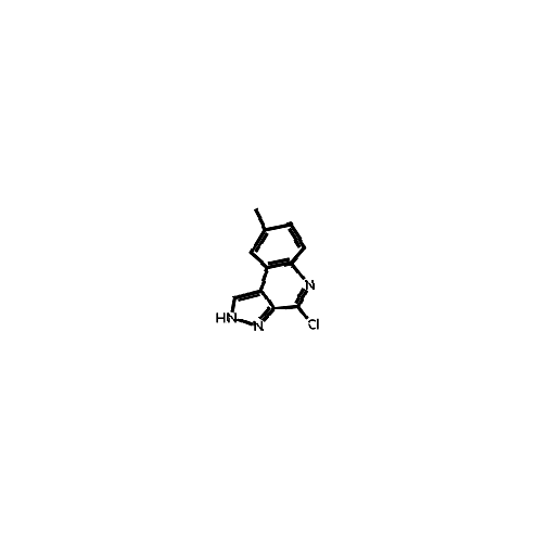 Cc1ccc2nc(Cl)c3n[nH]cc3c2c1